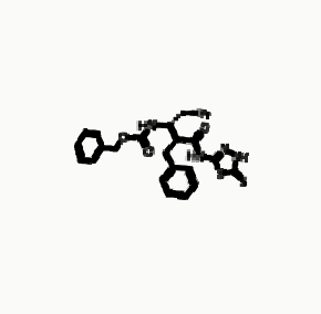 CC(C)C[C@@H](NC(=O)OCc1ccccc1)[C@H](Cc1ccccc1)C(=O)Nc1n[nH]c(=S)s1